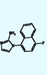 Nc1nccn1-c1ccc(F)c2ccccc12